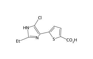 CCc1nc(-c2ccc(C(=O)O)s2)c(Cl)[nH]1